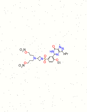 CCCc1nn(C)c2c(=O)[nH]c(-c3cc(S(=O)(=O)N4CC(N(CCCO[N+](=O)[O-])CCCO[N+](=O)[O-])C4)ccc3OCC)nc12